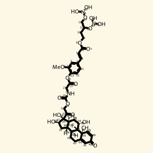 COc1cc(/C=C/C(=O)OCCC(CON(O)O)ON(O)O)ccc1OC(=O)CNC(=O)OCC(=O)[C@@]1(O)[C@H](O)C[C@H]2[C@@H]3CCC4=CC(=O)C=C[C@]4(C)[C@@]3(F)[C@@H](O)C[C@@]21C